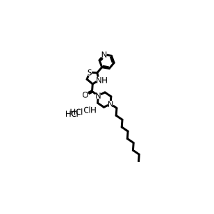 CCCCCCCCCCN1CCN(C(=O)C2CSC(c3cccnc3)N2)CC1.Cl.Cl.Cl